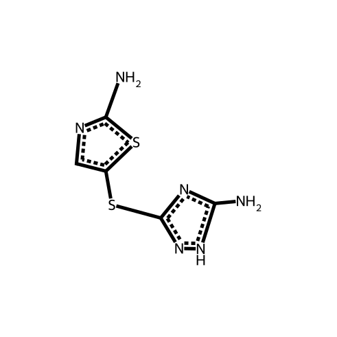 Nc1nc(Sc2cnc(N)s2)n[nH]1